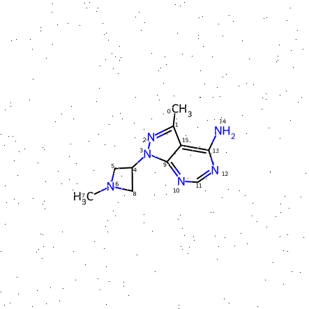 Cc1nn(C2CN(C)C2)c2ncnc(N)c12